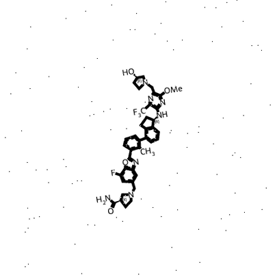 COc1nc(N[C@@H]2CCc3c(-c4cccc(-c5nc6cc(CN7CC[C@@H](C(N)=O)C7)cc(F)c6o5)c4C)cccc32)c(C(F)(F)F)nc1CN1CC[C@@H](O)C1